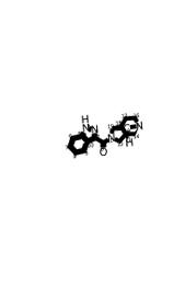 O=C(c1n[nH]c2ccccc12)N1C[C@H]2C[N@]3CCC2C1C3